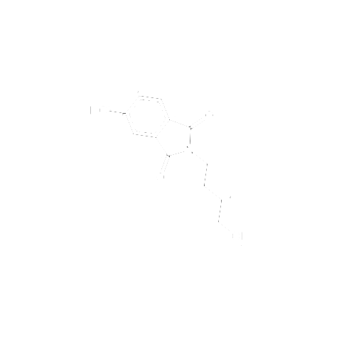 O=C1c2ccc(O)cc2C(=O)N1CCCCO